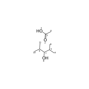 CC(=O)O.CC(C)C(O)C(C)C